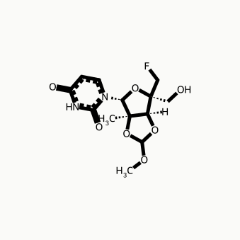 COC1O[C@@H]2[C@](CO)(CF)O[C@@H](n3ccc(=O)[nH]c3=O)[C@]2(C)O1